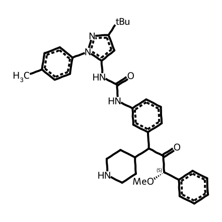 CO[C@H](C(=O)C(c1cccc(NC(=O)Nc2cc(C(C)(C)C)nn2-c2ccc(C)cc2)c1)C1CCNCC1)c1ccccc1